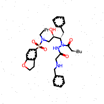 CC[C@H](C)CC(=O)N(NC(=O)CNCc1ccccc1)[C@@H](Cc1ccccc1)[C@H](O)CN(CC(C)C)S(=O)(=O)c1ccc2c(c1)CCO2